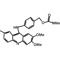 CNC(=O)OCc1ccc(Nc2c3cc(C)ccc3nc3cc(OC)c(OC)cc23)cc1